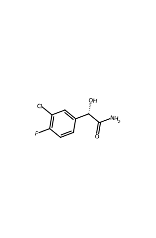 NC(=O)[C@@H](O)c1ccc(F)c(Cl)c1